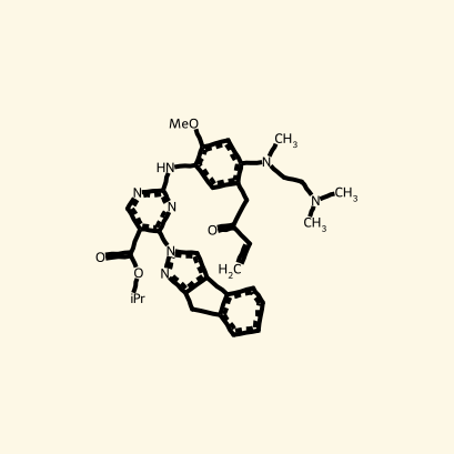 C=CC(=O)Cc1cc(Nc2ncc(C(=O)OC(C)C)c(-n3cc4c(n3)Cc3ccccc3-4)n2)c(OC)cc1N(C)CCN(C)C